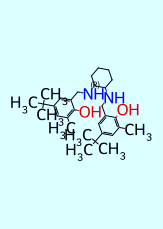 Cc1cc(C(C)(C)C)cc(CNC2CCCC[C@H]2NCc2cc(C(C)(C)C)cc(C)c2O)c1O